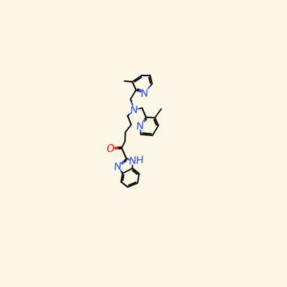 Cc1cccnc1CN(CCCCC(=O)c1nc2ccccc2[nH]1)Cc1ncccc1C